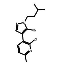 Cc1ccc(-c2cnn(CCC(C)C)c2Br)c(Cl)n1